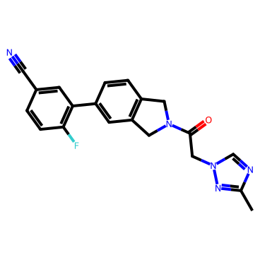 Cc1ncn(CC(=O)N2Cc3ccc(-c4cc(C#N)ccc4F)cc3C2)n1